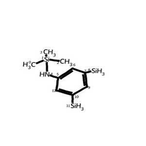 C[Si](C)(C)Nc1cc([SiH3])cc([SiH3])c1